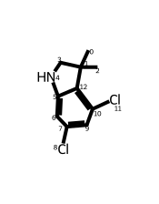 CC1(C)CNc2cc(Cl)cc(Cl)c21